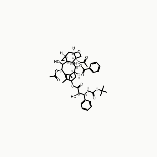 CC(=O)O[C@@H]1C2=C(C)C(OC(=O)[C@H](O)[C@@H](NC(=O)OC(C)(C)C)c3ccccc3)C[C@@](O)([C@@H](OC(=O)c3ccccc3)[C@@H]3[C@]4(OC(C)=O)CO[C@@H]4C[C@@H]4C[C@@]43C1O)C2(C)C